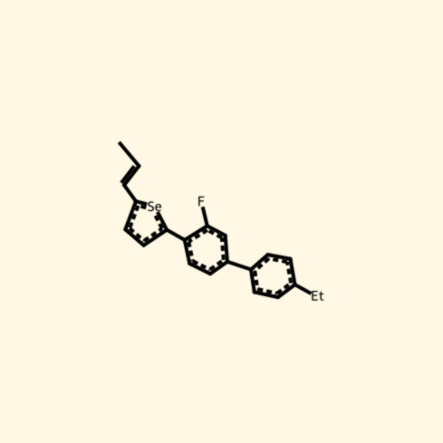 CC=Cc1ccc(-c2ccc(-c3ccc(CC)cc3)cc2F)[se]1